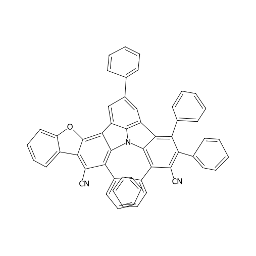 N#Cc1c(-c2ccccc2)c(-c2ccccc2)c2c3cc(-c4ccccc4)cc4c5c6oc7ccccc7c6c(C#N)c(-c6ccccc6)c5n(c2c1-c1ccccc1)c34